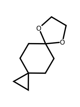 C1COC2(CCC3(CC3)CC2)O1